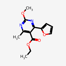 CCOC(=O)c1c(C)nc(OC)nc1-c1ccco1